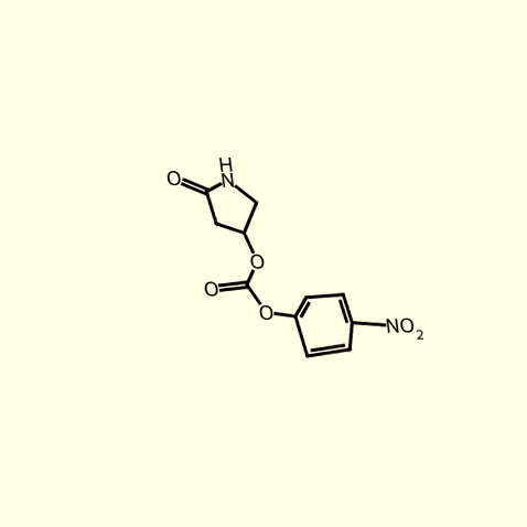 O=C1CC(OC(=O)Oc2ccc([N+](=O)[O-])cc2)CN1